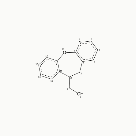 OCC1Cc2cccnc2Oc2ccccc21